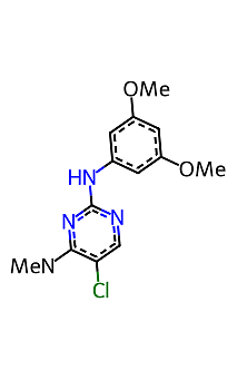 CNc1nc(Nc2cc(OC)cc(OC)c2)ncc1Cl